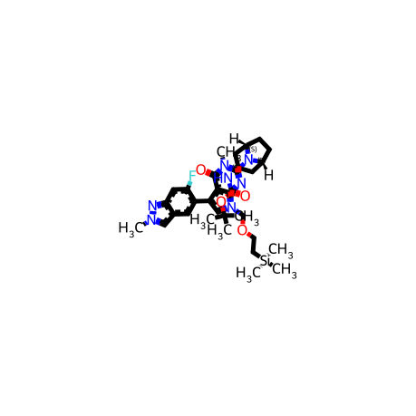 Cn1cc2cc(-c3cn(COCC[Si](C)(C)C)c4nc(N5[C@@H]6CC[C@H]5C[C@@H](NC(=O)OC(C)(C)C)C6)n(C)c(=O)c34)c(F)cc2n1